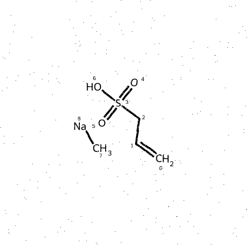 C=CCS(=O)(=O)O.[CH3][Na]